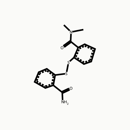 CN(C)C(=O)c1ccccc1SSc1ccccc1C(N)=O